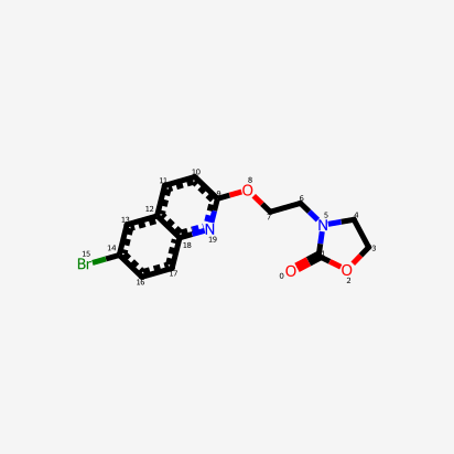 O=C1OCCN1CCOc1ccc2cc(Br)ccc2n1